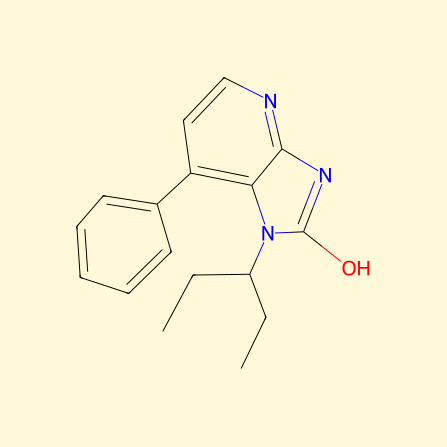 CCC(CC)n1c(O)nc2nccc(-c3ccccc3)c21